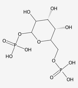 O=P(O)(O)OCC1OC(OP(=O)(O)O)C(O)[C@H](O)[C@@H]1O